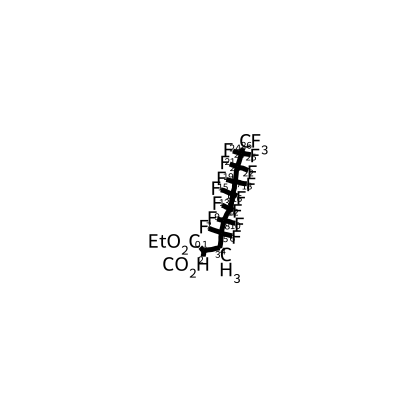 CCOC(=O)C(C(=O)O)C(C)C(F)(F)C(F)(F)C(F)(F)C(F)(F)C(F)(F)C(F)(F)C(F)(F)C(F)(F)F